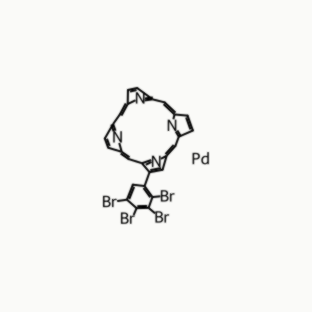 Brc1cc(C2=CC3=CC4=NC(=CC5=NC(=CC6=NC(=CC2=N3)C=C6)C=C5)C=C4)c(Br)c(Br)c1Br.[Pd]